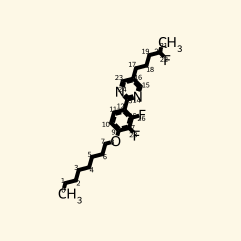 CCCCCCCCOc1ccc(-c2ncc(CCCC(C)F)cn2)c(F)c1F